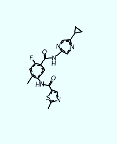 Cc1ncc(C(=O)Nc2cc(C(=O)Nc3cnc(C4CC4)cn3)c(F)cc2C)s1